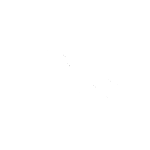 Nc1nc(Cl)cc(OC(c2ccccc2-n2ccc(-c3ccccc3)n2)C(F)(F)F)n1